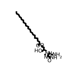 CCCCCCCCCCCCCCCCCCCCCC(=O)OCCC(CO)Cn1cnc2c(=O)[nH]c(N)nc21